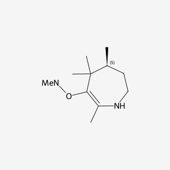 CNOC1=C(C)NCC[C@H](C)C1(C)C